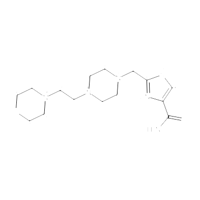 NC(=O)c1csc(CN2CCN(CCN3CCOCC3)CC2)n1